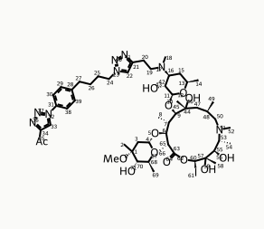 CO[C@]1(C)C[C@H](O[C@H]2[C@H](C)[C@@H](O[C@@H]3O[C@H](C)C[C@H](N(C)CCc4cn(CCCCc5ccc(-n6cc(C(C)=O)nn6)cc5)nn4)[C@H]3O)[C@](C)(O)C[C@@H](C)CN(C)[C@H](C)[C@@H](O)[C@](C)(O)[C@@H](I)OC(=O)[C@@H]2C)O[C@@H](C)[C@@H]1O